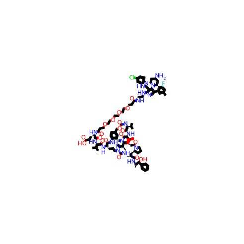 CC[C@H](C)[C@@H]([C@@H](CC(=O)N1CCC[C@H]1C[C@@H](C)C(=O)N[C@H](C)[C@@H](O)c1ccccc1)OC)N(C)C(=O)[C@@H](NC(=O)[C@H](C(C)C)N(C)C(=O)OCc1ccc(NC(=O)[C@H](CCCNC(N)=O)NC(=O)[C@@H](NC(=O)[C@H](CCC(=O)O)NC(=O)CCOCCOCCOCCOCCC(=O)NCCNc2ncc(-c3cc(C)cc(F)c3)c(N3CCC(N)CC3)c2-c2nc3ccc(Cl)cc3[nH]2)C(C)C)cc1)C(C)C